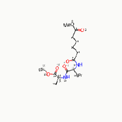 COC(=O)CCCCC(=O)NC(C(=O)N[C@@H](C)C(=O)OC(C)(C)C)C(C)C